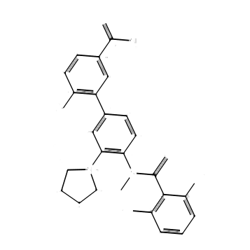 C=C(c1c(F)cccc1Cl)N(C)c1ccc(-c2cc(C(N)=O)ccc2Cl)cc1N1CCC[C@@H]1C(F)(F)F